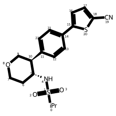 CC(C)S(=O)(=O)N[C@@H]1CCOC[C@H]1c1ccc(-c2ccc(C#N)s2)cc1